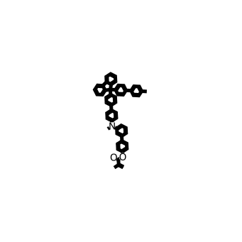 C=C(C)C(=O)Oc1ccc(-c2cccc(N(C)c3ccc(-c4ccc(C5(c6ccc(-c7ccc(C)cc7)cc6)c6ccccc6-c6ccccc65)cc4)cc3)c2)cc1